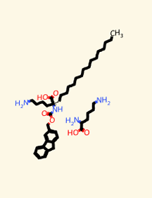 CCCCCCCCCCCCCCCC[C@@](CCCCN)(NC(=O)OCc1ccc2c(c1)-c1ccccc1C2)C(=O)O.NCCCCC(N)C(=O)O